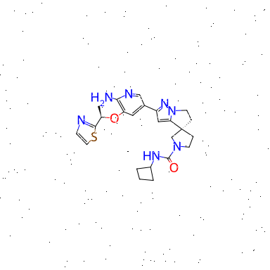 C[C@@H](Oc1cc(-c2cc3n(n2)CC[C@@]32CCN(C(=O)NC3CCC3)C2)cnc1N)c1nccs1